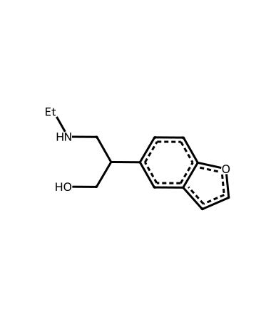 CCNCC(CO)c1ccc2occc2c1